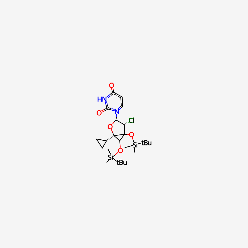 CC(C)(C)[Si](C)(C)OC1C2(O[Si](C)(C)C(C)(C)C)[C@@H](Cl)[C@H](n3ccc(=O)[nH]c3=O)O[C@]12C1CC1